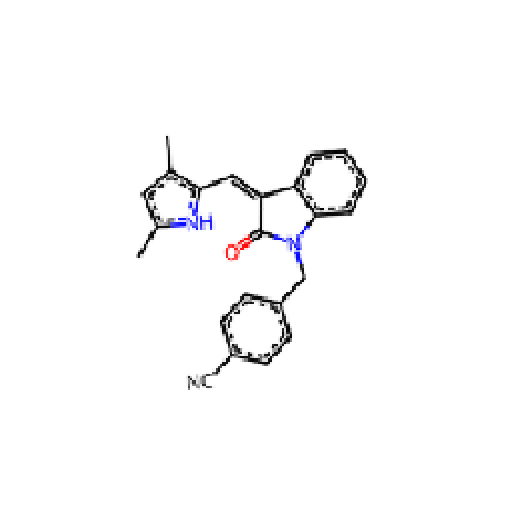 Cc1cc(C)c(/C=C2\C(=O)N(Cc3ccc(C#N)cc3)c3ccccc32)[nH]1